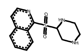 O=S(=O)(c1nccc2ccccc12)C1CNCCN1